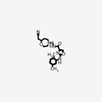 Cc1ccc(C)c(Nc2nc(C(=O)NSN3CCOC(CC#N)CC3)co2)c1